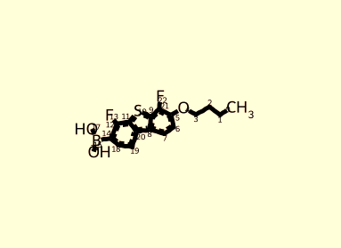 CCCCOc1ccc2c(sc3c(F)c(B(O)O)ccc32)c1F